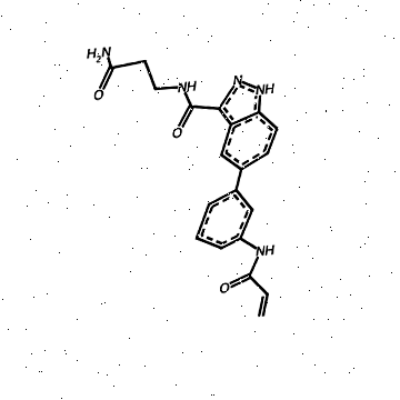 C=CC(=O)Nc1cccc(-c2ccc3[nH]nc(C(=O)NCCC(N)=O)c3c2)c1